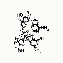 CO[C@H]1[C@H](n2cnc3c(N)ncnc32)O[C@](C)(CCOP(O)(=S)O[C@H]2[C@H](n3cnc4c(O)nc(N)nc43)O[C@H](CO)C2(F)F)[C@H]1O